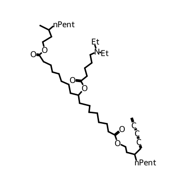 C=C=C=C=CC(CCCCC)CCOC(=O)CCCCCCCC(CCCCCCCC(=O)OCCC(C)CCCCC)OC(=O)CCCCN(CC)CC